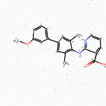 COc1cccc(-c2cc(C)c(Nc3ncccc3C(=O)O)c(C)c2)c1